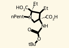 CCCCCN1C[C@@](NC(=O)OC(C)(C)C)(C(=O)O)C(CC)[C@]1(CC)C(=O)O